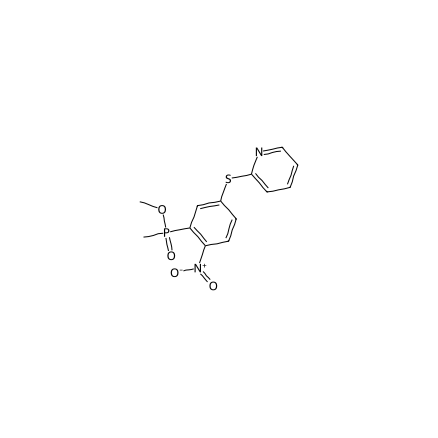 COP(C)(=O)c1cc(Sc2ccccn2)ccc1[N+](=O)[O-]